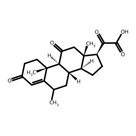 CC1C[C@H]2[C@@H]3CC[C@H](C(=O)C(=O)O)[C@@]3(C)CC(=O)[C@@H]2[C@@]2(C)CCC(=O)C=C12